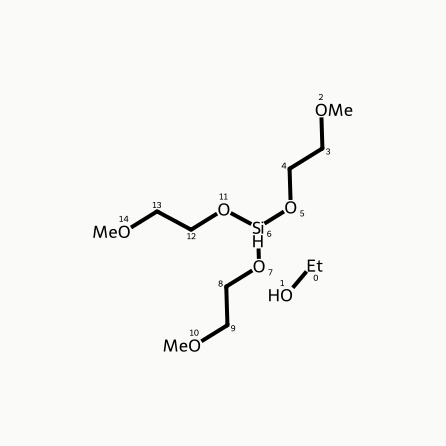 CCO.COCCO[SiH](OCCOC)OCCOC